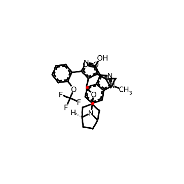 Cn1nc(C(=O)O)c2ccc(N3C4CC[C@H]3CC(OCc3c(-c5ccccc5OC(F)(F)F)noc3C3CC3)C4)cc21